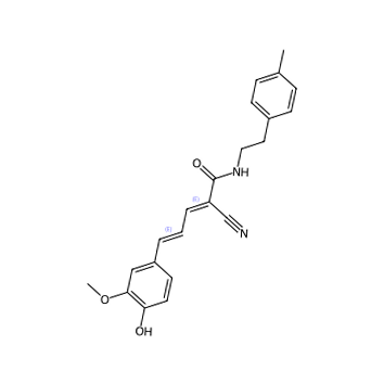 COc1cc(/C=C/C=C(\C#N)C(=O)NCCc2ccc(C)cc2)ccc1O